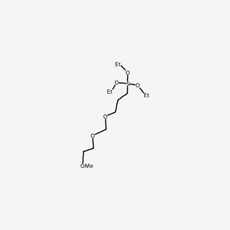 CCO[Si](CCCOCOCCOC)(OCC)OCC